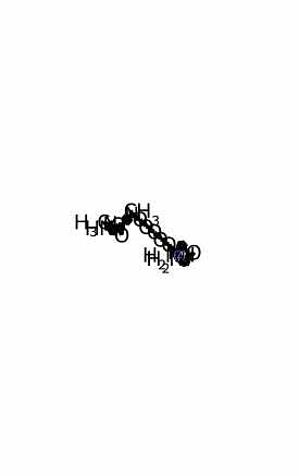 Cc1nc2c(ccc3c(=O)cc(-c4ccc(N(C)CCOCCOCCOCCOCCOCCN(N)/C5=C(\N)c6ccccc6N(C=O)Cc6ccccc65)cc4)oc32)[nH]1